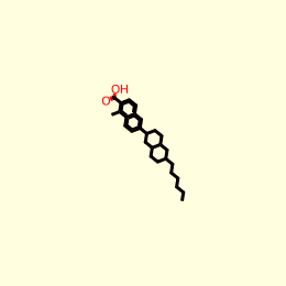 CCCCCCC1CCC2CC(c3ccc4c(C)c(C(=O)O)ccc4c3)CCC2C1